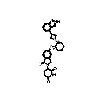 O=C1CCC(N2Cc3cc(O[C@@H]4CCCC[C@@H]4N4CC(c5cccc6n[nH]cc56)C4)ccc3C2=O)C(=O)N1